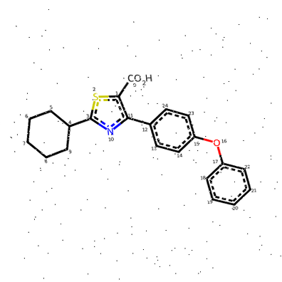 O=C(O)c1sc(C2CCCCC2)nc1-c1ccc(Oc2ccccc2)cc1